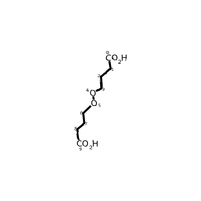 O=C(O)CCCOOCCCC(=O)O